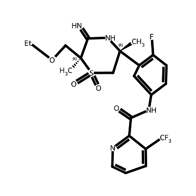 CCOC[C@@]1(C)C(=N)N[C@](C)(c2cc(NC(=O)c3ncccc3C(F)(F)F)ccc2F)CS1(=O)=O